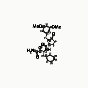 COc1cc(CN2C(=O)CC[C@@H]2C(=O)NC(Cc2ccccc2)C(=O)C(N)=O)cc(OC)c1